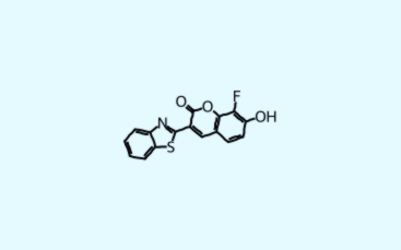 O=c1oc2c(F)c(O)ccc2cc1-c1nc2ccccc2s1